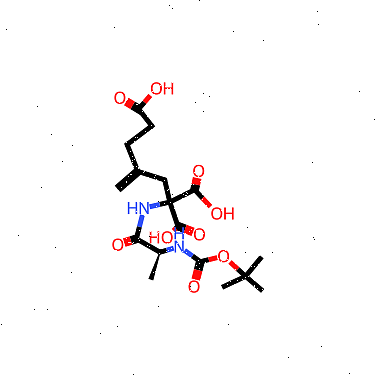 C=C(CCC(=O)O)CC(NC(=O)[C@H](C)NC(=O)OC(C)(C)C)(C(=O)O)C(=O)O